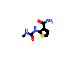 CNC(=O)Nc1sccc1C(N)=O